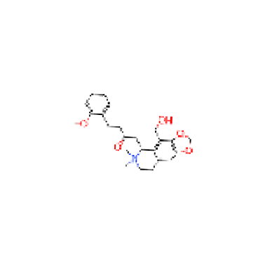 COc1ccccc1CCC(=O)CC1c2c(cc3c(c2CO)OCO3)CC[N+]1(C)C